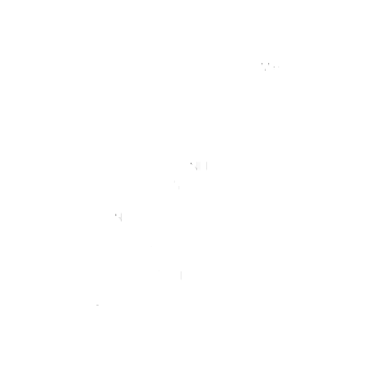 COc1ccc(CNS(=O)(=O)c2c(C)nc3cc(Br)cc(F)c3c2Cl)cc1